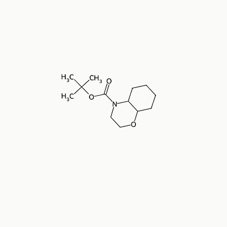 CC(C)(C)OC(=O)N1CCOC2CCCCC21